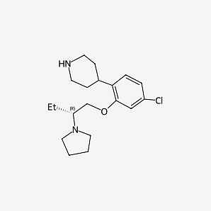 CC[C@H](COc1cc(Cl)ccc1C1CCNCC1)N1CCCC1